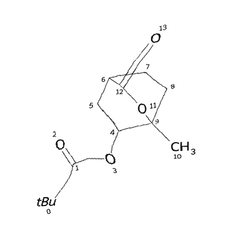 CC(C)(C)C(=O)OC1CC2CCC1(C)OC2=O